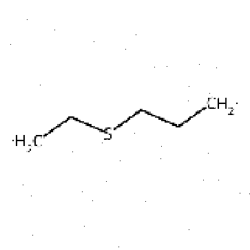 [CH2]CCSC[CH2]